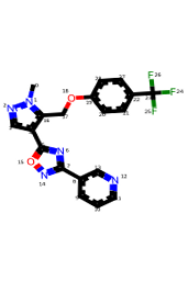 Cn1ncc(-c2nc(-c3cccnc3)no2)c1COc1ccc(C(F)(F)F)cc1